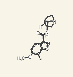 COc1ccc2c(C(=O)N[C@H]3CN4CCC3CC4)nsc2c1F